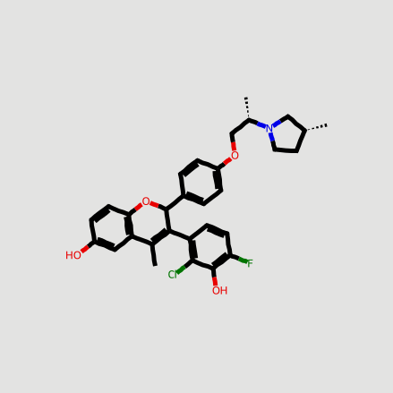 CC1=C(c2ccc(F)c(O)c2Cl)C(c2ccc(OC[C@H](C)N3CC[C@@H](C)C3)cc2)Oc2ccc(O)cc21